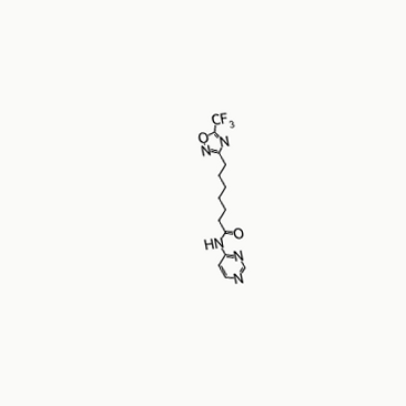 O=C(CCCCCCc1noc(C(F)(F)F)n1)Nc1ccncn1